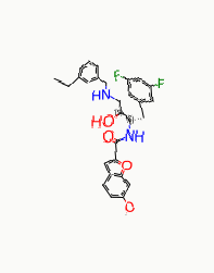 CCc1cccc(CNC[C@H](O)[C@H](Cc2cc(F)cc(F)c2)NC(=O)c2cc3ccc(OC)cc3o2)c1